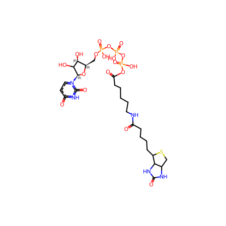 O=C(CCCCC1SCC2NC(=O)NC21)NCCCCCC(=O)OP(=O)(O)OP(=O)(O)OP(=O)(O)OC[C@H]1O[C@@H](n2ccc(=O)[nH]c2=O)C(O)[C@H]1O